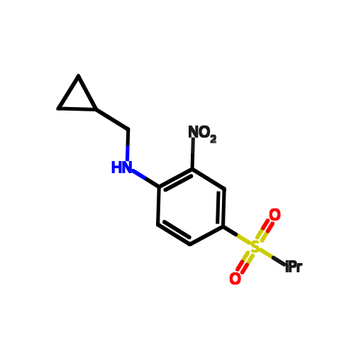 CC(C)S(=O)(=O)c1ccc(NCC2CC2)c([N+](=O)[O-])c1